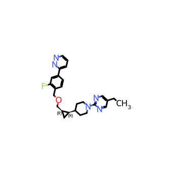 CCc1cnc(N2CCC([C@H]3C[C@H]3COCc3ccc(-c4cccnn4)cc3F)CC2)nc1